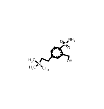 C[Si](C)(C)CCc1ccc(S(N)(=O)=O)c(CO)c1